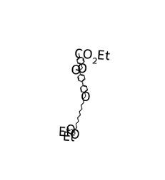 CCOC(=O)c1ccc(OC(=O)c2ccc(-c3ccc(OCCCCCCCCCCC(OCC)OCC)cc3)cc2)cc1